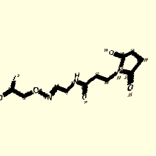 O=C(I)CON=CCNC(=O)CCN1C(=O)C=CC1=O